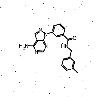 Cc1cccc(CNC(=O)c2cccc(-n3ncc4c(N)ncnc43)c2)c1